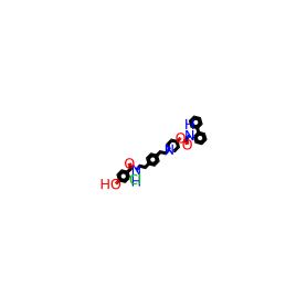 O=C(Nc1ccccc1-c1ccccc1)OC1CCN(CCc2ccc(CCNC(=O)c3ccc(O)cc3Cl)cc2)CC1